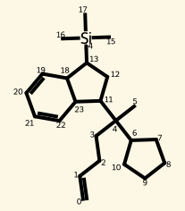 C=CCCC(C)(C1CCCC1)C1CC([Si](C)(C)C)C2C=CC=CC21